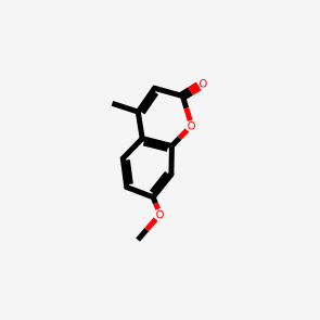 COc1ccc2c(C)cc(=O)oc2c1